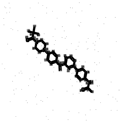 CC(=O)Nc1ccc(-c2ccnc(Nc3ccc(N4CCN(C(=O)C(C)(C)C)CC4)cc3)n2)cc1